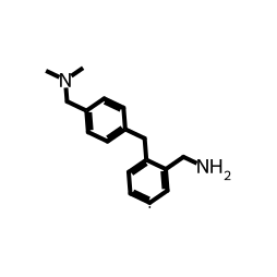 CN(C)Cc1ccc(Cc2cc[c]cc2CN)cc1